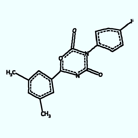 Cc1cc(C)cc(-c2nc(=O)n(-c3ccc(F)cc3)c(=O)o2)c1